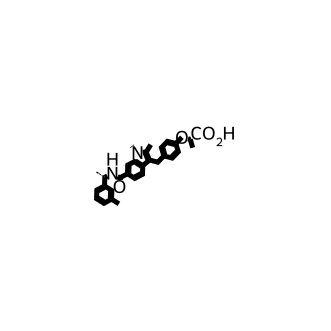 Cc1cccc([C@H](C)NC(=O)c2ccc3c(Cc4ccc(OC(C)C(=O)O)cc4)c(C)n(C)c3c2)c1